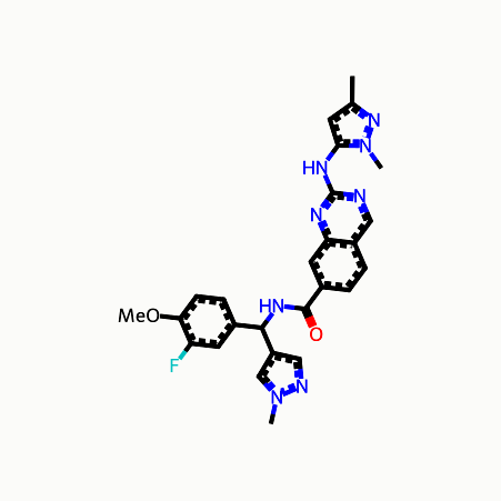 COc1ccc(C(NC(=O)c2ccc3cnc(Nc4cc(C)nn4C)nc3c2)c2cnn(C)c2)cc1F